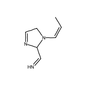 C/C=C\N1CC=NC1C=N